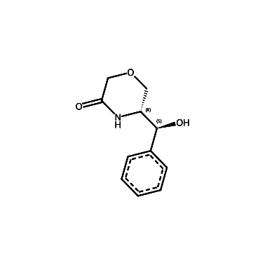 O=C1COC[C@H]([C@@H](O)c2ccccc2)N1